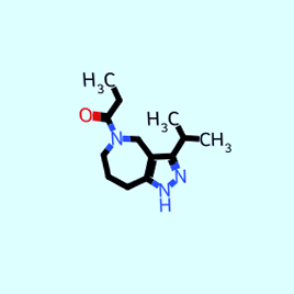 CCC(=O)N1CCCc2[nH]nc(C(C)C)c2C1